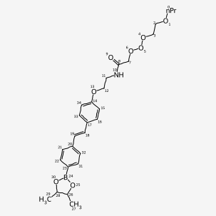 CCCOCCOOOCC(=O)NCCOc1ccc(C=Cc2ccc(B3OC(C)C(C)O3)cc2)cc1